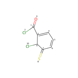 O=C(Cl)C1=CC=CC(=S)C1Cl